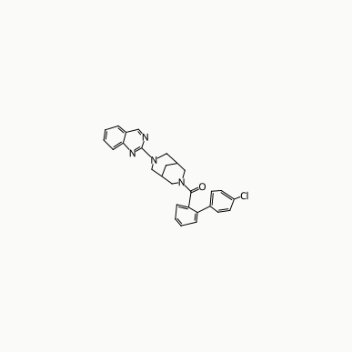 O=C(c1ccccc1-c1ccc(Cl)cc1)N1CC2CC(C1)CN(c1ncc3ccccc3n1)C2